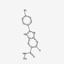 CC(C)c1ccc(-c2nc3cc(F)c(C(=O)NO)cc3[nH]2)cc1